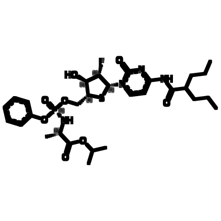 CCCC(CCC)C(=O)Nc1ccn([C@@H]2S[C@H](CO[P@@](=O)(N[C@@H](C)C(=O)OC(C)C)Oc3ccccc3)[C@@H](O)[C@@H]2F)c(=O)n1